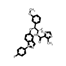 COc1cccc([C@H](Oc2ccc3c(cnn3-c3ccc(F)cc3)c2)[C@H](C)NC(=O)c2ncsc2C)c1